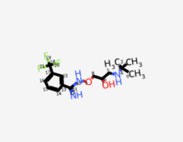 CC(C)(C)NCC(O)CONC(=N)c1cccc(C(F)(F)F)c1